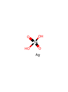 O=[Te](=O)(O)O.[Ag]